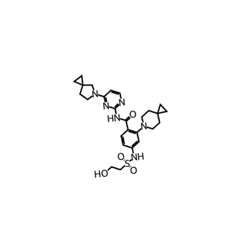 O=C(Nc1nccc(N2CCC3(CC3)C2)n1)c1ccc(NS(=O)(=O)CCO)cc1N1CCC2(CC1)CC2